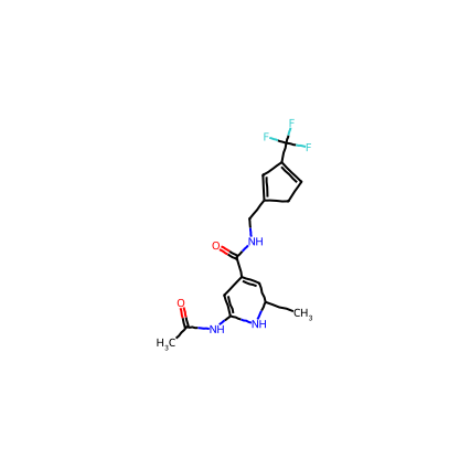 CC(=O)NC1=CC(C(=O)NCC2=CC(C(F)(F)F)=CC2)=CC(C)N1